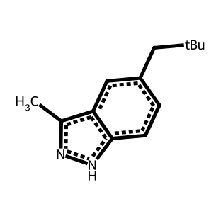 Cc1n[nH]c2ccc(CC(C)(C)C)cc12